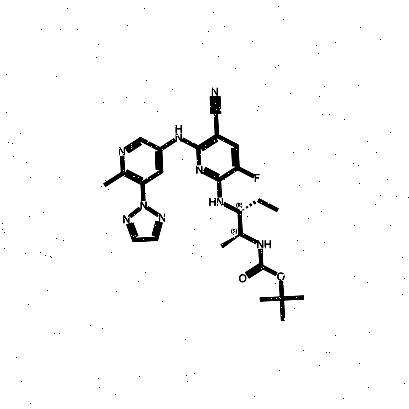 CC[C@@H](Nc1nc(Nc2cnc(C)c(-n3nccn3)c2)c(C#N)cc1F)[C@H](C)NC(=O)OC(C)(C)C